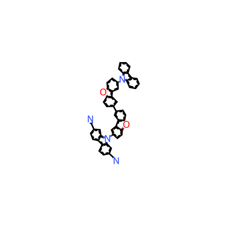 N#Cc1ccc2c3ccc(C#N)cc3n(-c3ccc4oc5ccc(-c6ccc7oc8ccc(-n9c%10ccccc%10c%10ccccc%109)cc8c7c6)cc5c4c3)c2c1